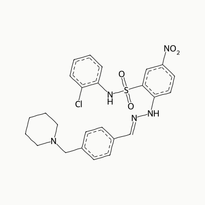 O=[N+]([O-])c1ccc(N/N=C/c2ccc(CN3CCCCC3)cc2)c(S(=O)(=O)Nc2ccccc2Cl)c1